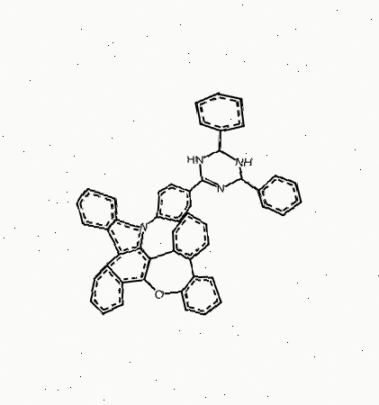 c1ccc(C2N=C(c3ccc(-n4c5ccccc5c5c6ccccc6c6c(c54)-c4ccccc4-c4ccccc4O6)cc3)NC(c3ccccc3)N2)cc1